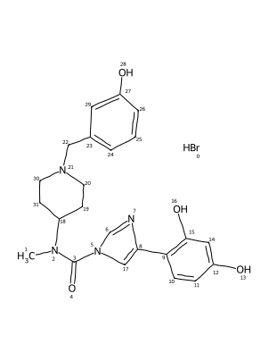 Br.CN(C(=O)n1cnc(-c2ccc(O)cc2O)c1)C1CCN(Cc2cccc(O)c2)CC1